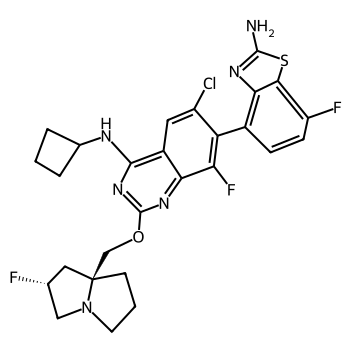 Nc1nc2c(-c3c(Cl)cc4c(NC5CCC5)nc(OC[C@@]56CCCN5C[C@H](F)C6)nc4c3F)ccc(F)c2s1